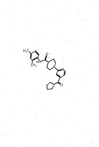 Cc1ccc(NC(=O)C2CCN(c3cc(C(=O)N4CCCC4)ccn3)CC2)c(C)c1